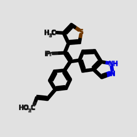 Cc1cscc1C(=C(c1ccc(C=CC(=O)O)cc1)c1ccc2[nH]ncc2c1)C(C)C